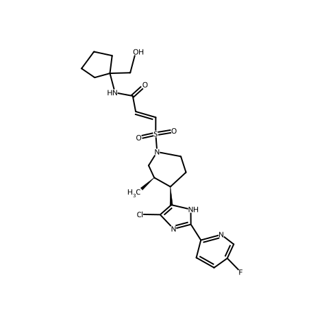 C[C@H]1CN(S(=O)(=O)C=CC(=O)NC2(CO)CCCC2)CC[C@H]1c1[nH]c(-c2ccc(F)cn2)nc1Cl